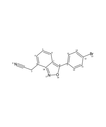 N#CCc1cccc2c(-c3ccc(Br)cc3)onc12